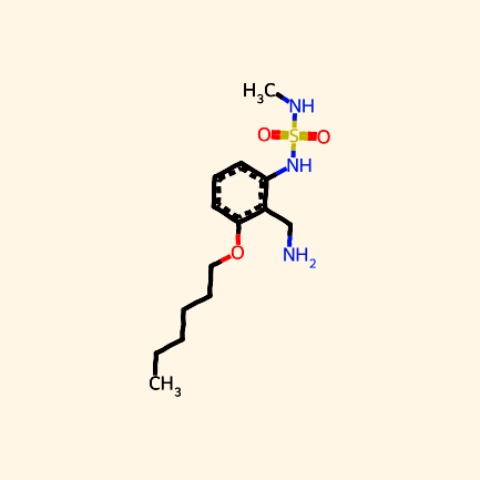 CCCCCCOc1cccc(NS(=O)(=O)NC)c1CN